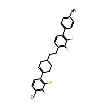 CCCc1ccc(-c2ccc(CCC3CC=C(c4ccc(CC)c(F)c4F)CC3)c(F)c2F)cc1